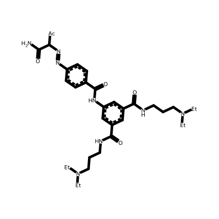 CCN(CC)CCCNC(=O)c1cc(NC(=O)c2ccc(/N=N/C(C(C)=O)C(N)=O)cc2)cc(C(=O)NCCCN(CC)CC)c1